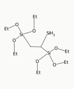 CCO[Si](CC([SiH3])[Si](OCC)(OCC)OCC)(OCC)OCC